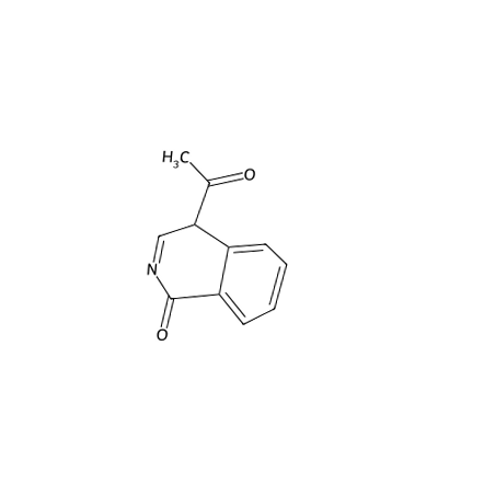 CC(=O)C1C=NC(=O)c2ccccc21